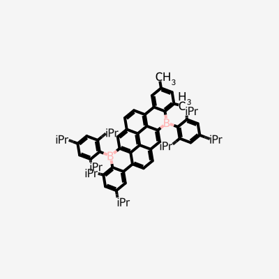 Cc1cc(C)c2c(c1)-c1ccc3cc4c5c(ccc6cc(c1c3c65)B2c1c(C(C)C)cc(C(C)C)cc1C(C)C)-c1cc(C(C)C)cc(C(C)C)c1B4c1c(C(C)C)cc(C(C)C)cc1C(C)C